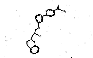 NC(=O)c1ccc(-c2cccc(OCC(O)CN3CCc4ccccc4C3)c2)cc1